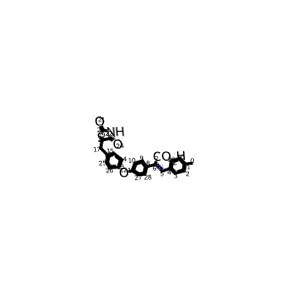 Cc1ccc(/C=C(\C(=O)O)c2ccc(Oc3ccc(CC4SC(=O)NC4=O)cc3)cc2)cc1